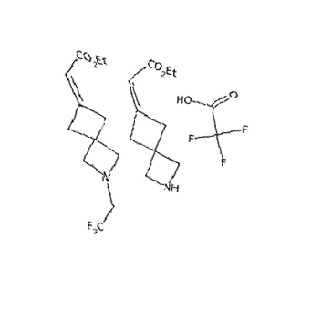 CCOC(=O)C=C1CC2(C1)CN(CC(F)(F)F)C2.CCOC(=O)C=C1CC2(CNC2)C1.O=C(O)C(F)(F)F